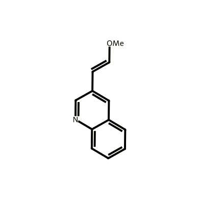 COC=Cc1cnc2ccccc2c1